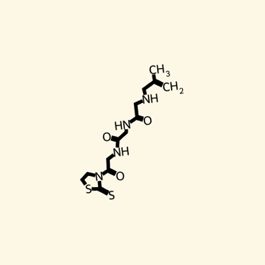 C=C(C)CNCC(=O)NCC(=O)NCC(=O)N1CCSC1=S